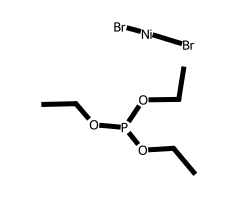 CCOP(OCC)OCC.[Br][Ni][Br]